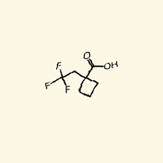 O=C(O)C1(CC(F)(F)F)CCC1